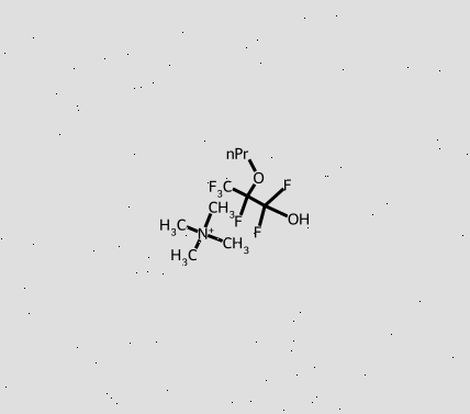 CCCOC(F)(C(O)(F)F)C(F)(F)F.C[N+](C)(C)C